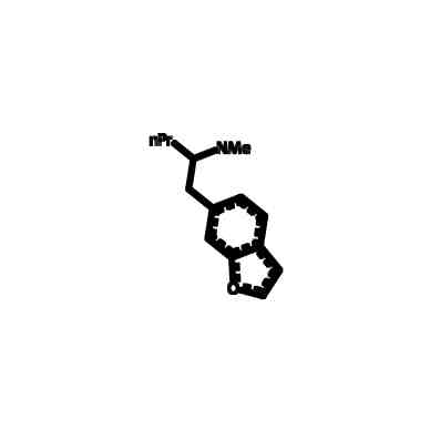 CCCC(Cc1ccc2ccoc2c1)NC